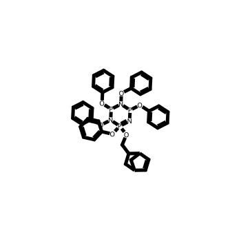 C1=CC2CC1CC2COP1(Oc2ccccc2)=NP(Oc2ccccc2)N(Oc2ccccc2)P(Oc2ccccc2)N1Oc1ccccc1